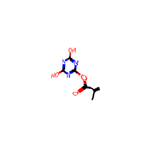 C=C(C)C(=O)Oc1nc(O)nc(O)n1